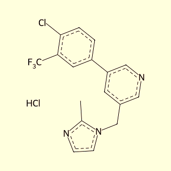 Cc1nccn1Cc1cncc(-c2ccc(Cl)c(C(F)(F)F)c2)c1.Cl